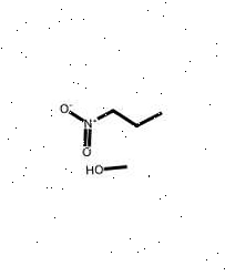 CCC[N+](=O)[O-].CO